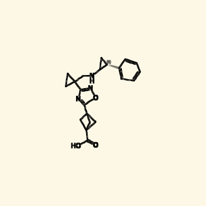 O=C(O)C12CC(c3nc(C4(CNC5C[C@@H]5c5ccccc5)CC4)no3)(C1)C2